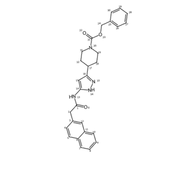 O=C(Cc1ccc2ccccc2c1)Nc1cc(C2CCN(C(=O)OCc3ccccc3)CC2)n[nH]1